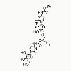 CC(C)OC(=O)Nc1ccn([C@@H]2O[C@H](COCC(C)OC(=O)Nc3ccn([C@@H]4O[C@H](CO)[C@@H](O)[C@@H]4O)c(=O)n3)C(O)C2(F)F)c(=O)n1